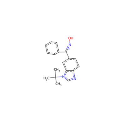 CC(C)(C)n1cnc2ccc(/C(=N/O)c3ccccc3)cc21